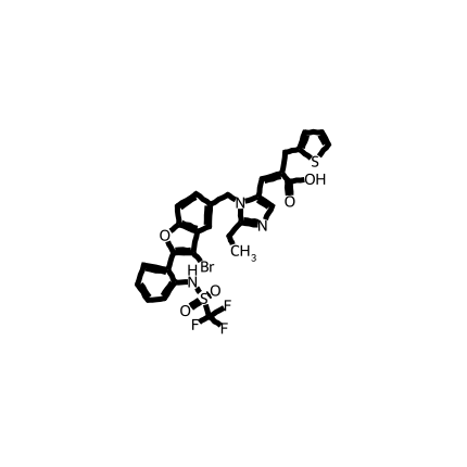 CCc1ncc(C=C(Cc2cccs2)C(=O)O)n1Cc1ccc2oc(-c3ccccc3NS(=O)(=O)C(F)(F)F)c(Br)c2c1